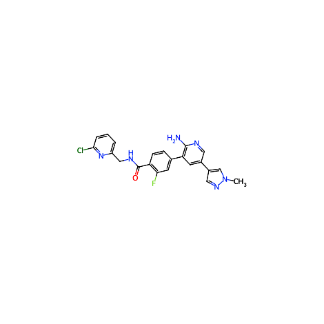 Cn1cc(-c2cnc(N)c(-c3ccc(C(=O)NCc4cccc(Cl)n4)c(F)c3)c2)cn1